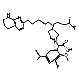 COc1c(F)cc(C(C)C)cc1[C@H](C(=O)O)N1CC[C@@H](N(CCCCCc2ccc3c(n2)NCCC3)CCC(F)F)C1